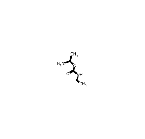 CCNC(=O)OC(C)N